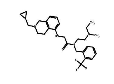 CCN(C)CCN(Cc1ccccc1C(F)(F)F)C(=O)CNc1cccc2c1CCN(CC1CC1)C2